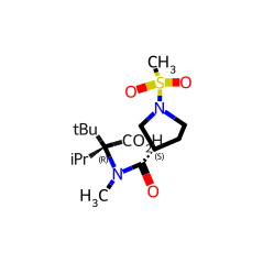 CC(C)[C@@](C(=O)O)(N(C)C(=O)[C@H]1CCN(S(C)(=O)=O)C1)C(C)(C)C